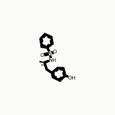 C[C@H](Cc1ccc(O)cc1)NS(=O)(=O)c1ccccc1